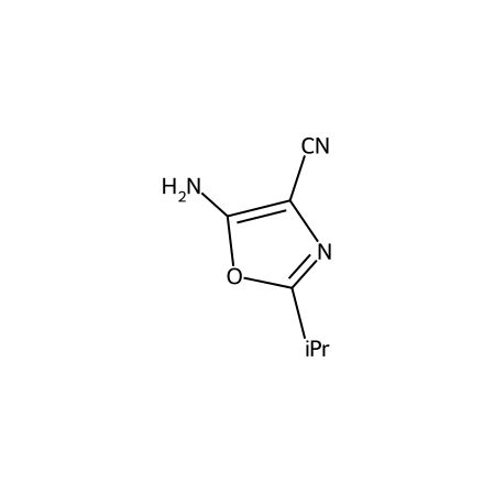 CC(C)c1nc(C#N)c(N)o1